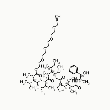 C#CCOCCOCCOCCOCCOC(=O)N(C)[C@H](C(=O)N[C@H](C(=O)N(C)[C@@H]([C@@H](C)CC)[C@@H](CC(=O)N1CCC[C@H]1[C@H](OC)[C@@H](C)C(=O)N[C@H](C)[C@@H](O)c1ccccc1)OC)C(C)C)C(C)C